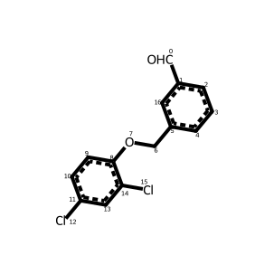 O=Cc1cccc(COc2ccc(Cl)cc2Cl)c1